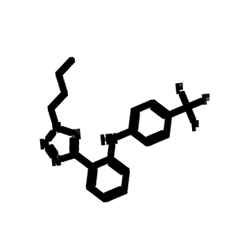 CCCCn1nnc(-c2ccccc2Nc2ccc(C(F)(F)F)cc2)n1